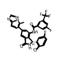 Cc1c(-c2cc(NC(=O)c3cc(F)cc(C(F)(F)F)c3)c3c(c2)C(=O)N[C@H]3c2cc(F)ccc2Cl)ccc2ncnn12